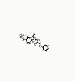 O=C(COc1ccccc1)N[C@@H]1C(=O)N2C(C(=O)O)=C(CO)CS[C@H]12